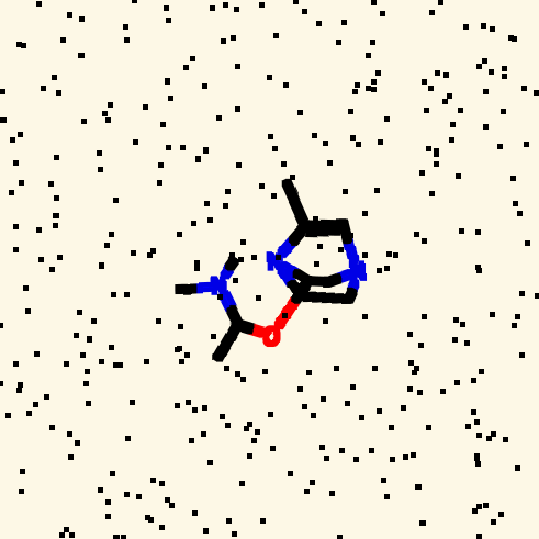 CC1=CN2CCN1C(OC(C)N(C)C)C2